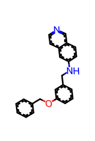 c1ccc(COc2cccc(CNc3ccc4cnccc4c3)c2)cc1